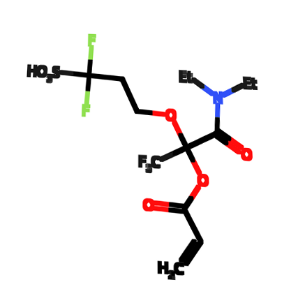 C=CC(=O)OC(OCCC(F)(F)S(=O)(=O)O)(C(=O)N(CC)CC)C(F)(F)F